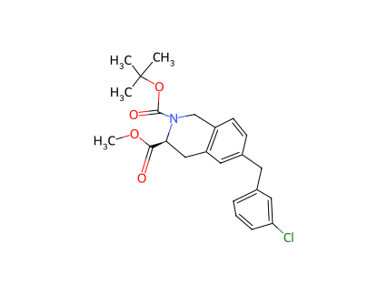 COC(=O)[C@@H]1Cc2cc(Cc3cccc(Cl)c3)ccc2CN1C(=O)OC(C)(C)C